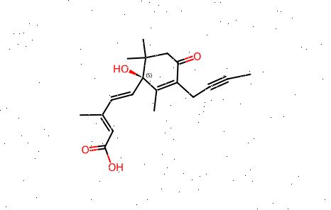 CC#CCC1=C(C)[C@](O)(C=CC(C)=CC(=O)O)C(C)(C)CC1=O